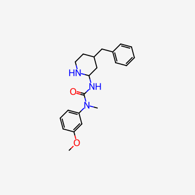 COc1cccc(N(C)C(=O)NC2CC(Cc3ccccc3)CCN2)c1